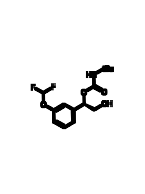 CC(C)(C)NC(=O)O[C@@H](CO)c1cccc(OC(F)F)c1